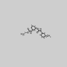 CCOC(=O)Nc1cccc(OC(=O)Nc2cccc(C)c2)c1